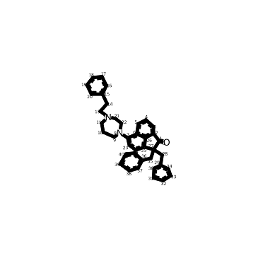 O=C1c2cccc3c(N4CCCN(CCc5ccccc5)CC4)ccc(c23)C1(Cc1ccccc1)Cc1ccccc1